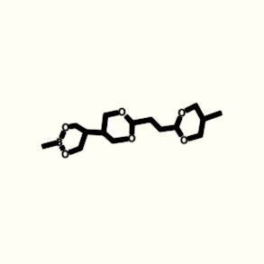 CB1OCC(C2COC(CCC3OCC(C)CO3)OC2)CO1